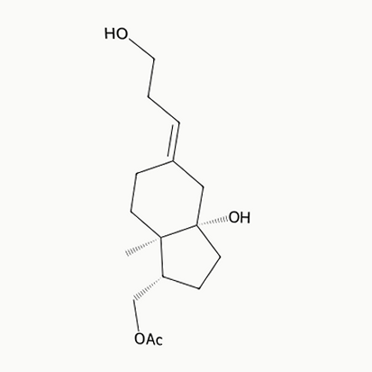 CC(=O)OC[C@H]1CC[C@]2(O)C/C(=C/CCO)CC[C@]12C